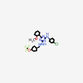 COc1ccccc1-c1nc(NN=Cc2ccc(OC(F)(F)F)cc2)nc(Nc2ccc(Cl)cc2)n1